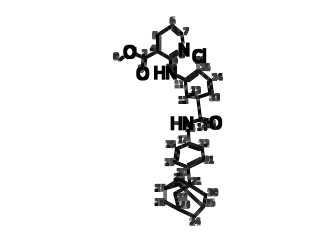 COC(=O)c1cccnc1Nc1cc(C(=O)Nc2ccc(C34CC5CC(CC(C5)C3)C4)cc2)ccc1Cl